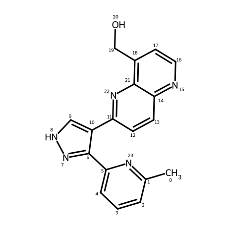 Cc1cccc(-c2n[nH]cc2-c2ccc3nccc(CO)c3n2)n1